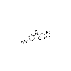 CCCc1ccc(NC(=O)CC(CC)CCC)cc1